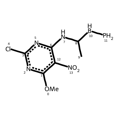 COc1nc(Cl)nc(NC(C)BP)c1[N+](=O)[O-]